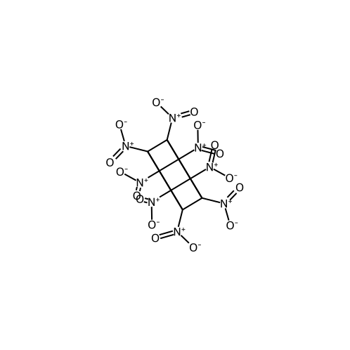 O=[N+]([O-])C12C3([N+](=O)[O-])C4([N+](=O)[O-])C1([N+](=O)[O-])C1([N+](=O)[O-])C2([N+](=O)[O-])C3([N+](=O)[O-])C41[N+](=O)[O-]